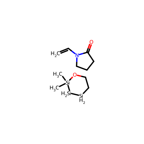 C=CN1CCCC1=O.C[Si]1(C)OCC[SiH2][SiH2]1